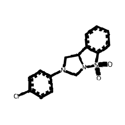 O=S1(=O)c2ccccc2C2CN(c3ccc(Cl)cc3)CN21